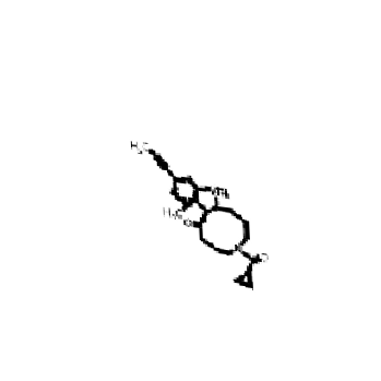 CC#Cc1cc(C)c(C2C(=O)CCCN(C(=O)C3CC3)CCCC2O)c(C)c1